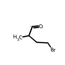 CC([C]=O)CCBr